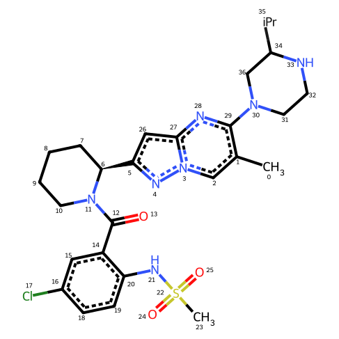 Cc1cn2nc([C@@H]3CCCCN3C(=O)c3cc(Cl)ccc3NS(C)(=O)=O)cc2nc1N1CCNC(C(C)C)C1